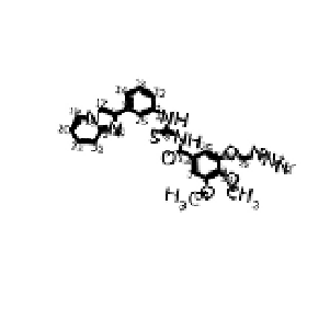 COc1cc(C(=O)NC(=S)Nc2cccc(-c3cn4ccccc4n3)c2)cc(OCN=[N+]=[N-])c1OC